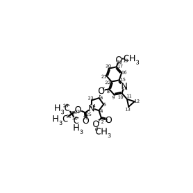 COC(=O)C1C[C@@H](Oc2cc(C3CC3)nc3cc(OC)ccc23)CN1C(=O)OC(C)(C)C